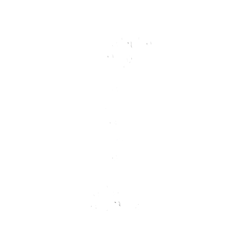 C/C(=C\OCC(C)(C)COCCC(=O)ON1C(=O)CCC1=O)COCCC(=O)ON1C(=O)CCC1=O